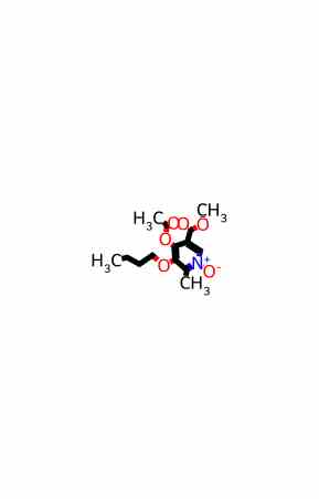 CCCCOc1c(OC(C)=O)c(C(=O)OC)c[n+]([O-])c1C